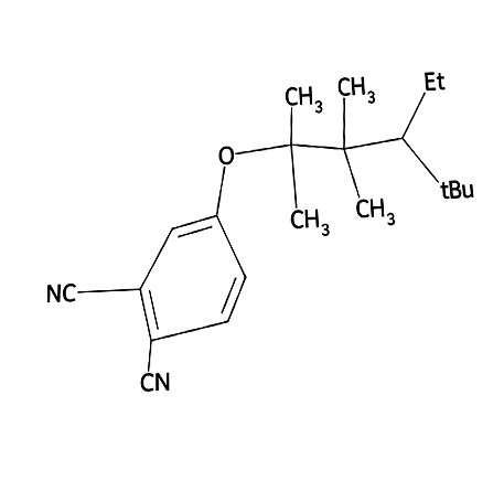 CCC(C(C)(C)C)C(C)(C)C(C)(C)Oc1ccc(C#N)c(C#N)c1